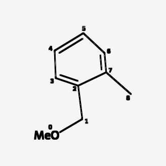 COCc1ccccc1C